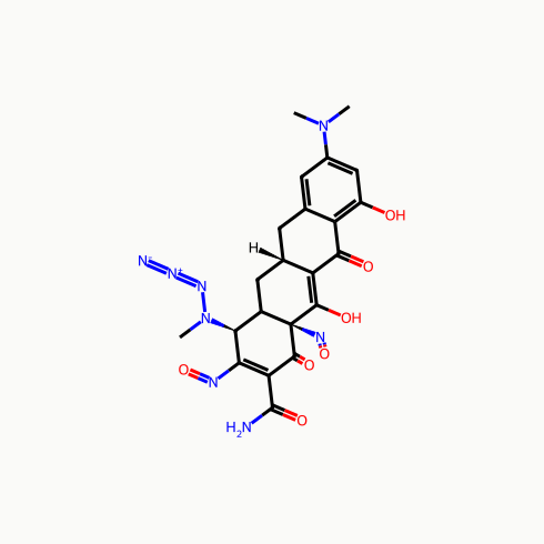 CN(C)c1cc(O)c2c(c1)C[C@H]1CC3[C@H](N(C)N=[N+]=[N-])C(N=O)=C(C(N)=O)C(=O)[C@@]3(N=O)C(O)=C1C2=O